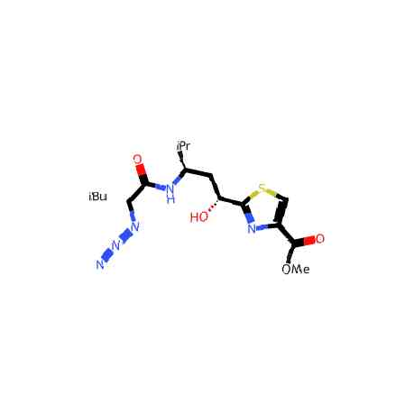 CC[C@H](C)C(N=[N+]=[N-])C(=O)N[C@H](C[C@@H](O)c1nc(C(=O)OC)cs1)C(C)C